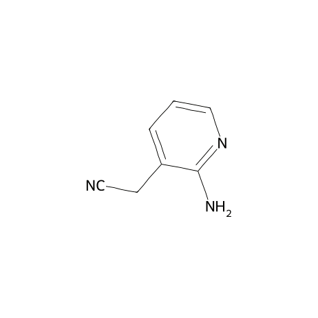 N#CCc1cccnc1N